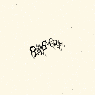 Cc1cncc2cccc(S(=O)(=O)N3CCC4C3CCN4C(=O)OC(C)(C)C)c12